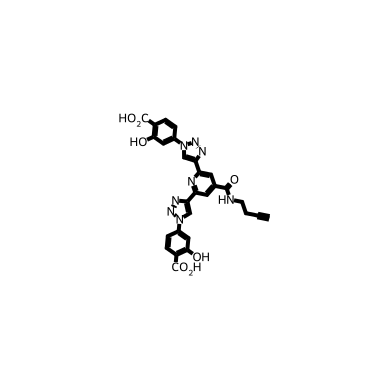 C#CCCNC(=O)c1cc(-c2cn(-c3ccc(C(=O)O)c(O)c3)nn2)nc(-c2cn(-c3ccc(C(=O)O)c(O)c3)nn2)c1